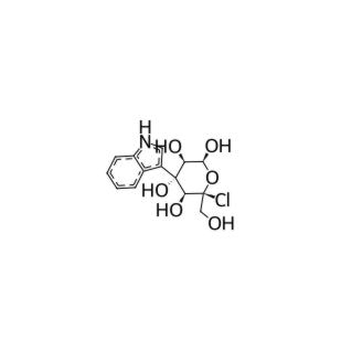 OC[C@@]1(Cl)O[C@H](O)[C@H](O)[C@](O)(c2c[nH]c3ccccc23)[C@@H]1O